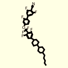 CCCCCC1CCC(C2CCC(c3cc(F)c(C(F)(F)Oc4ccc(-c5cc(F)c(C#N)c(F)c5)c(F)c4)c(F)c3)CC2)CC1